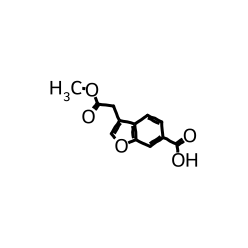 COC(=O)Cc1coc2cc(C(=O)O)ccc12